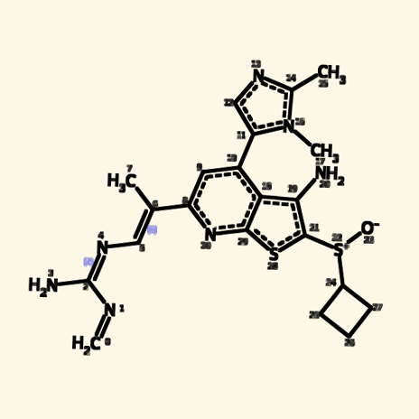 C=N/C(N)=N\C=C(/C)c1cc(-c2cnc(C)n2C)c2c(N)c([S+]([O-])C3CCC3)sc2n1